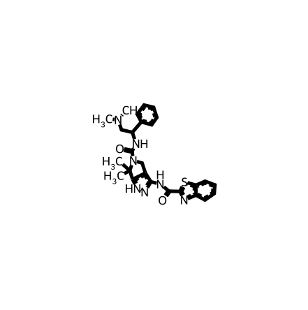 CN(C)CC(NC(=O)N1Cc2c(NC(=O)c3nc4ccccc4s3)n[nH]c2C1(C)C)c1ccccc1